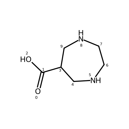 O=C(O)C1CNCCNC1